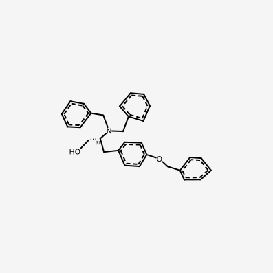 OC[C@@H](Cc1ccc(OCc2ccccc2)cc1)N(Cc1ccccc1)Cc1ccccc1